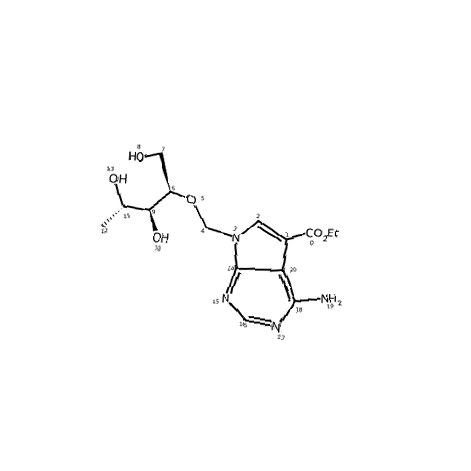 CCOC(=O)c1cn(CO[C@H](CO)[C@@H](O)[C@H](C)O)c2ncnc(N)c12